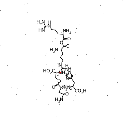 N=C(N)NCCC[C@H](N)C(=O)OC(=O)[C@@H](N)CCCNC(=N)N.NC(=O)C[C@H](N)C(=O)OC[C@H](N)C(=O)O.N[C@@H](Cc1c[nH]cn1)C(=O)O